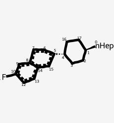 CCCCCCC[C@H]1CC[C@H](c2ccc3cc(F)ccc3c2)CC1